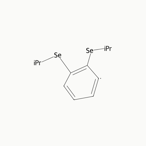 CC(C)[Se]c1[c]cccc1[Se]C(C)C